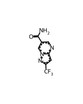 NC(=O)c1cnc2cc(C(F)(F)F)nn2c1